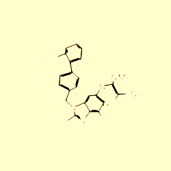 CCCc1nc2c(C)cc(NC(NC)=C(C#N)C#N)cc2n1Cc1ccc(-c2ccccc2C(=O)O)cc1